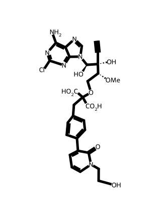 C#C[C@@](O)([C@@H](COC(Cc1ccc(-c2cccn(CCO)c2=O)cc1)(C(=O)O)C(=O)O)OC)[C@@H](O)n1cnc2c(N)nc(Cl)nc21